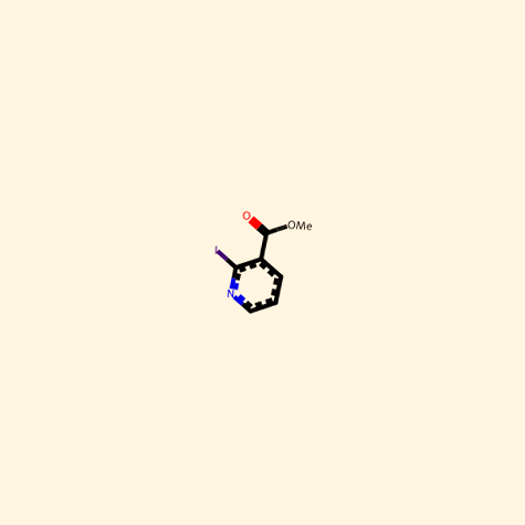 COC(=O)c1cccnc1I